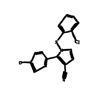 N#Cc1ccn(Sc2ccccc2Cl)c1-c1ccc(Cl)cc1